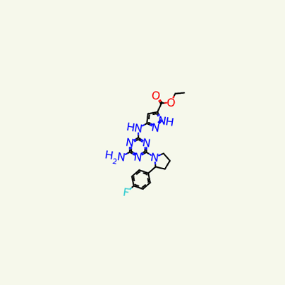 CCOC(=O)c1cc(Nc2nc(N)nc(N3CCCC3c3ccc(F)cc3)n2)n[nH]1